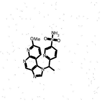 COc1ccc2c(ncc3ncn(C(C)c4ccc(S(N)(=O)=O)cn4)c32)n1